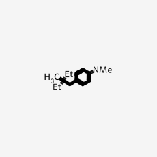 CCC(C)(CC)Cc1ccc(NC)cc1